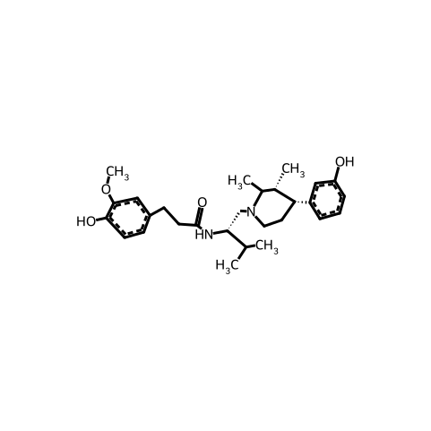 COc1cc(CCC(=O)N[C@H](CN2CC[C@@H](c3cccc(O)c3)[C@@H](C)C2C)C(C)C)ccc1O